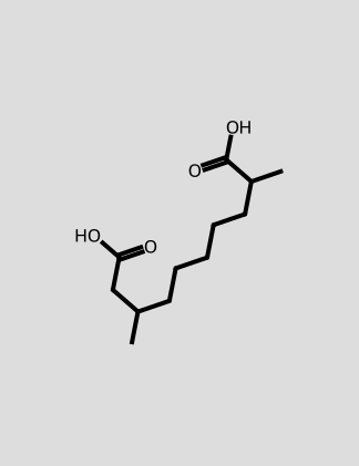 CC(CCCCCC(C)C(=O)O)CC(=O)O